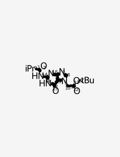 CC(C)C(=O)Nc1nc2ncn(CC(=O)OC(C)(C)C)c2c(=O)[nH]1